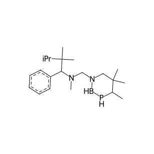 CC1PBN(CN(C)C(c2ccccc2)C(C)(C)C(C)C)CC1(C)C